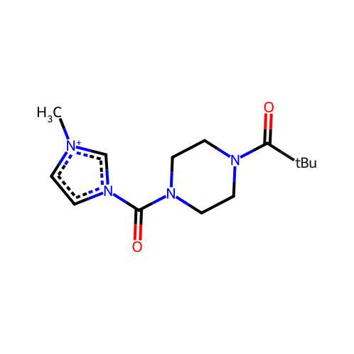 C[n+]1ccn(C(=O)N2CCN(C(=O)C(C)(C)C)CC2)c1